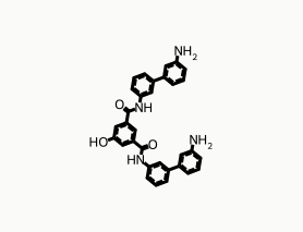 Nc1cccc(-c2cccc(NC(=O)c3cc(O)cc(C(=O)Nc4cccc(-c5cccc(N)c5)c4)c3)c2)c1